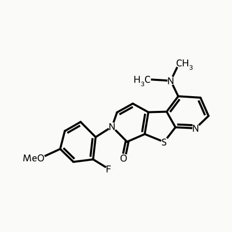 COc1ccc(-n2ccc3c(sc4nccc(N(C)C)c43)c2=O)c(F)c1